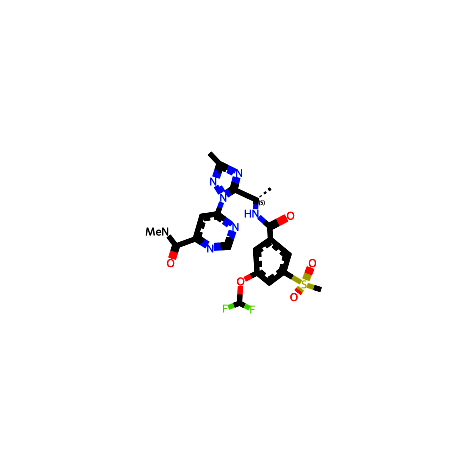 CNC(=O)c1cc(-n2nc(C)nc2[C@H](C)NC(=O)c2cc(OC(F)F)cc(S(C)(=O)=O)c2)ncn1